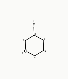 F[C]1CCCOC1